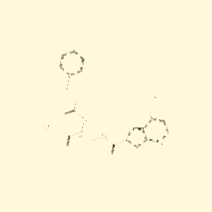 COC(=O)[C@@H](CNC(=O)c1cc2nccc(OC(C)C)c2s1)NC(=O)OCc1ccccc1